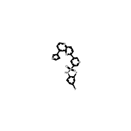 O=S(=O)(Nc1ccc(F)cc1F)c1cncc(-c2ccc3nccc(-c4ccsc4)c3n2)c1